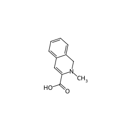 CN1Cc2ccccc2C=C1C(=O)O